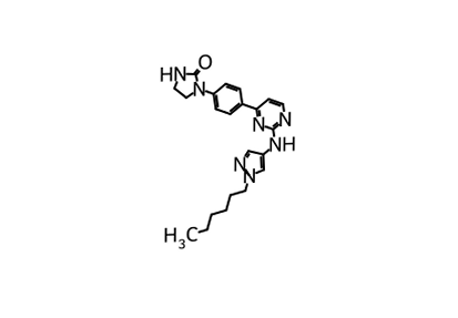 CCCCCCn1cc(Nc2nccc(-c3ccc(N4CCNC4=O)cc3)n2)cn1